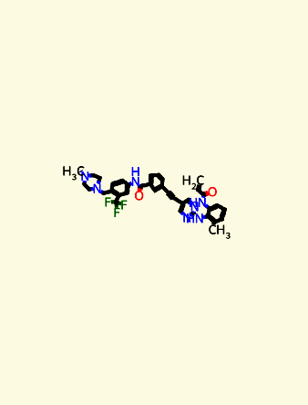 C=CC(=O)Nc1cccc(C)c1Nc1ncc(C#Cc2cccc(C(=O)Nc3ccc(CN4CCN(C)CC4)c(C(F)(F)F)c3)c2)cn1